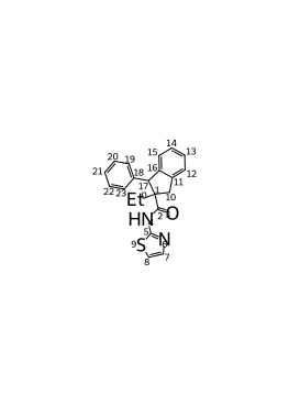 CCC1(C(=O)Nc2nccs2)Cc2ccccc2C1c1ccccc1